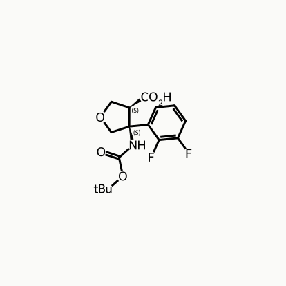 CC(C)(C)OC(=O)N[C@@]1(c2cccc(F)c2F)COC[C@H]1C(=O)O